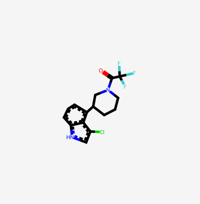 O=C(N1CCCC(c2cccc3[nH]cc(Cl)c23)C1)C(F)(F)F